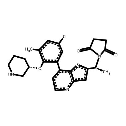 Cc1cc(Cl)cc(-c2ccnc3cc([C@H](C)N4C(=O)CCC4=O)sc23)c1O[C@H]1CCCNC1